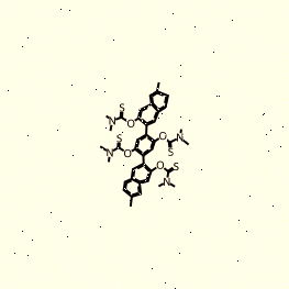 Cc1ccc2cc(-c3cc(OC(=S)N(C)C)c(-c4cc5ccc(C)cc5cc4OC(=S)N(C)C)cc3OC(=S)N(C)C)c(OC(=S)N(C)C)cc2c1